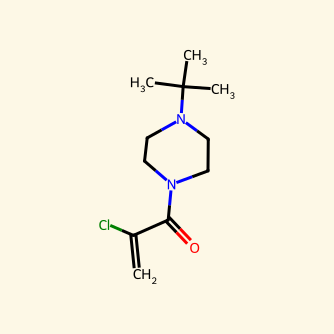 C=C(Cl)C(=O)N1CCN(C(C)(C)C)CC1